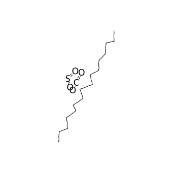 CCCCCCCCCCCCCCCC.O=C=O.O=S=O